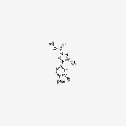 COc1ccc(-c2cn(C(=O)OC(C)(C)C)nc2C)cc1Br